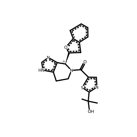 CC(C)(O)c1ncc(C(=O)N2CCc3[nH]cnc3[C@H]2c2cc3ccccc3o2)s1